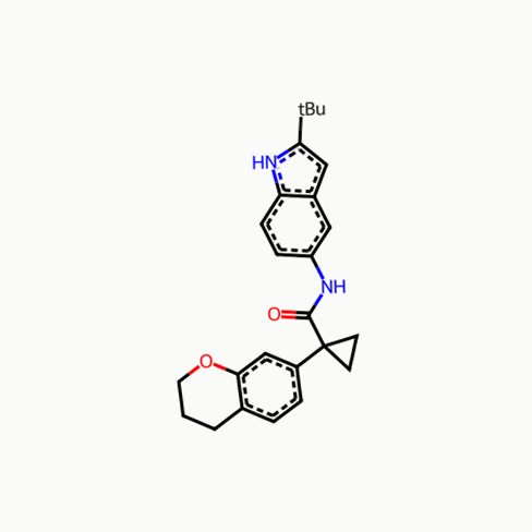 CC(C)(C)c1cc2cc(NC(=O)C3(c4ccc5c(c4)OCCC5)CC3)ccc2[nH]1